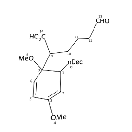 CCCCCCCCCCC1C=C(OC)C=CC1(OC)C(CCCC=O)C(=O)O